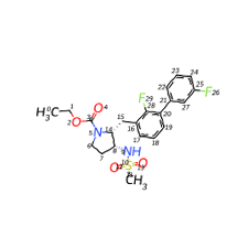 CCOC(=O)N1CC[C@@H](NS(C)(=O)=O)[C@H]1Cc1cccc(-c2cccc(F)c2)c1F